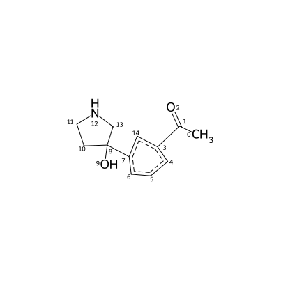 CC(=O)c1cccc(C2(O)CCNC2)c1